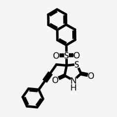 O=C1NC(=O)C(CC#Cc2ccccc2)(S(=O)(=O)c2ccc3ccccc3c2)S1